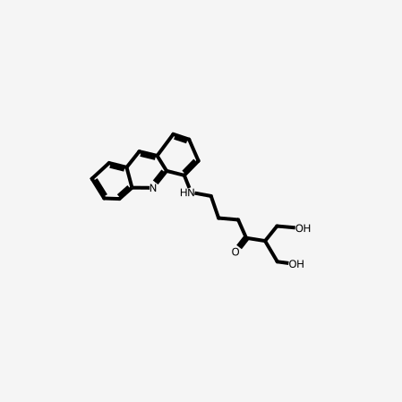 O=C(CCCNc1cccc2cc3ccccc3nc12)C(CO)CO